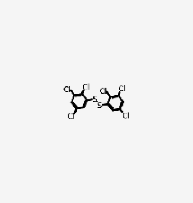 Clc1cc(Cl)c(Cl)c(SSc2cc(Cl)cc(Cl)c2Cl)c1